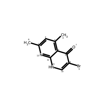 Cc1cc(C)c2c(=O)c(Br)c[nH]c2n1